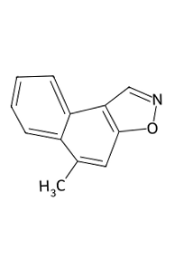 Cc1cc2oncc2c2ccccc12